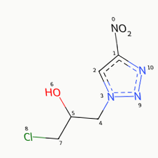 O=[N+]([O-])c1cn(CC(O)CCl)nn1